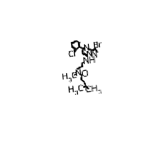 CC(C)CCC(=O)N(C)CCCNc1cc(-c2ccccc2Cl)nc2c(Br)cnn12